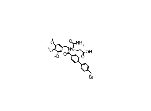 COc1cc(CN(C(=O)c2ccc(-c3ccc(CBr)cc3)cc2)[C@@H](CCC(=O)O)C(N)=O)cc(OC)c1OC